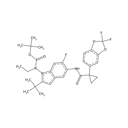 CCN(C(=O)OC(C)(C)C)n1c(C(C)(C)C)cc2cc(NC(=O)C3(c4ccc5c(c4)OC(F)(F)O5)CC3)c(F)cc21